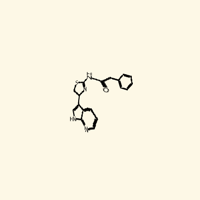 O=C(Cc1ccccc1)NC1=NC(c2c[nH]c3ncccc23)CS1